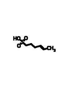 CC=CCCCS(=O)(=O)O